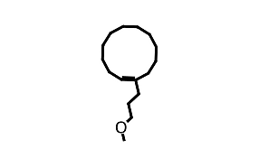 COCCC/C1=C/CCCCCCCCCC1